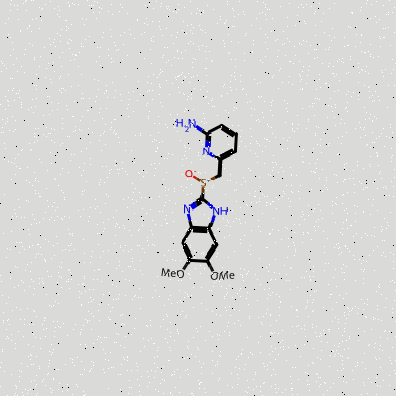 COc1cc2nc([S+]([O-])Cc3cccc(N)n3)[nH]c2cc1OC